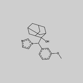 COc1cccc(C(n2ccnc2)C2(O)C3CC4CC(C3)CC2C4)c1